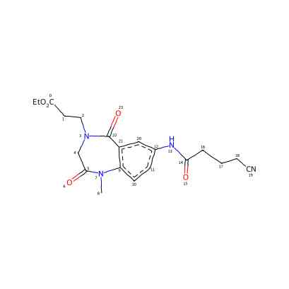 CCOC(=O)CCN1CC(=O)N(C)c2ccc(NC(=O)CCCC#N)cc2C1=O